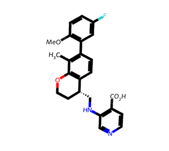 COc1ccc(F)cc1-c1ccc2c(c1C)OCC[C@H]2CNc1cnccc1C(=O)O